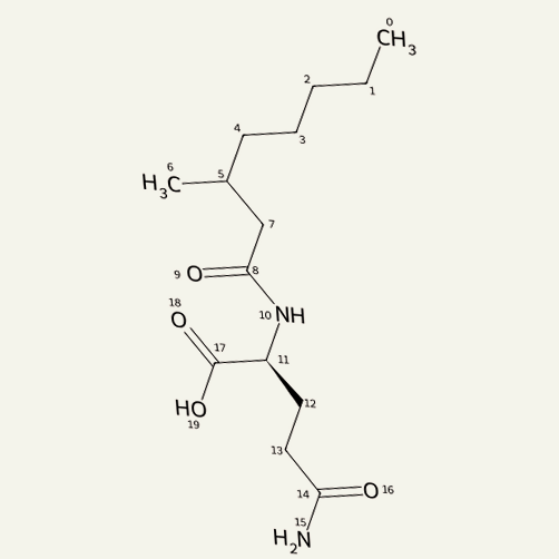 CCCCCC(C)CC(=O)N[C@@H](CCC(N)=O)C(=O)O